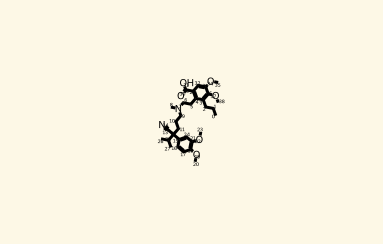 CCCc1c(CCN(C)CCCC(C#N)(c2ccc(OC)c(OC)c2)C(C)C)c(C(=O)O)cc(OC)c1OC